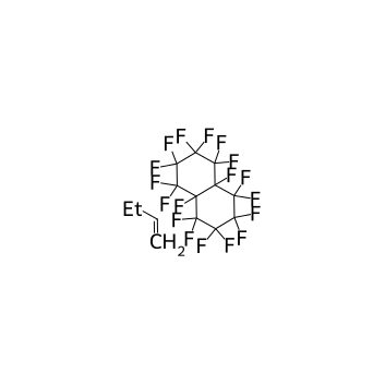 C=CCC.FC1(F)C(F)(F)C(F)(F)C2(F)C(F)(F)C(F)(F)C(F)(F)C(F)(F)C2(F)C1(F)F